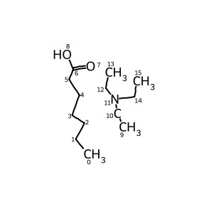 CCCCCCC(=O)O.CCN(CC)CC